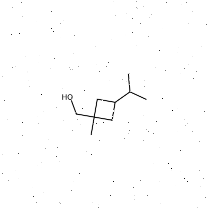 CC(C)C1CC(C)(CO)C1